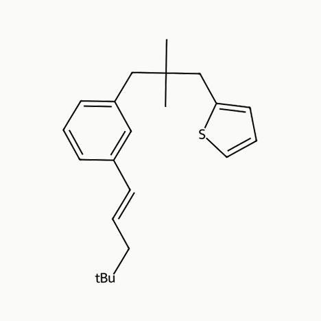 CC(C)(C)C/C=C/c1cccc(CC(C)(C)Cc2cccs2)c1